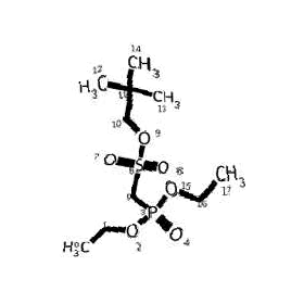 CCOP(=O)(CS(=O)(=O)OCC(C)(C)C)OCC